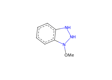 CON1NNc2ccccc21